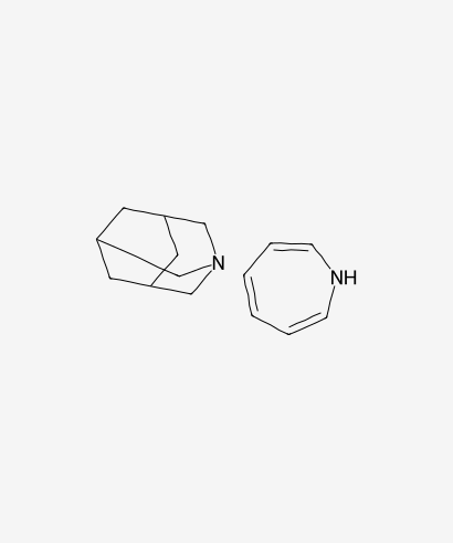 C1=CC=CNC=C1.C1C2CC3CC1CN(C2)C3